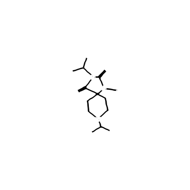 CC(C)N1CCC2(CC1)C(=O)N(C(C)C)C(=O)N2I